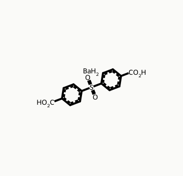 O=C(O)c1ccc(S(=O)(=O)c2ccc(C(=O)O)cc2)cc1.[BaH2]